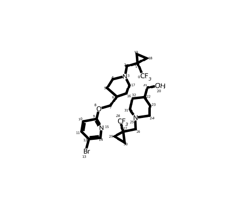 FC(F)(F)C1(CN2CCC(COc3ccc(Br)cn3)CC2)CC1.OCC1CCN(CC2(C(F)(F)F)CC2)CC1